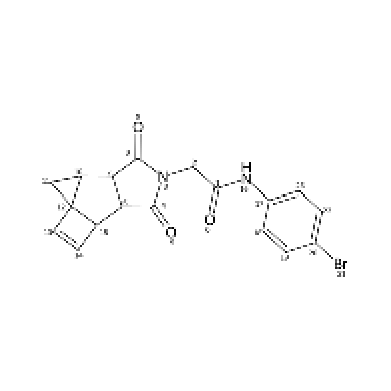 O=C(CN1C(=O)C2C(C1=O)C1CC13C=CC23)Nc1ccc(Br)cc1